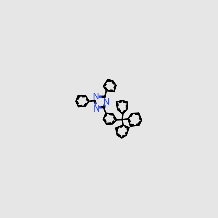 c1ccc(-c2nc(-c3ccccc3)nc(-c3cccc(C(c4ccccc4)(c4ccccc4)c4ccccc4)c3)n2)cc1